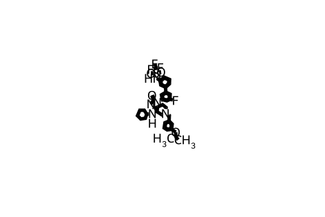 CC(C)Oc1cccc(CN2CCC3(CC2)C(NC2CCCCC2)=NC(=O)N3c2cc(F)cc(-c3cccc(NS(=O)(=O)C(F)(F)F)c3)c2)c1